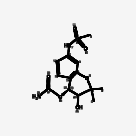 CC1(C)Oc2cc(NS(C)(=O)=O)ccc2[C@H](OC(N)=O)C1O